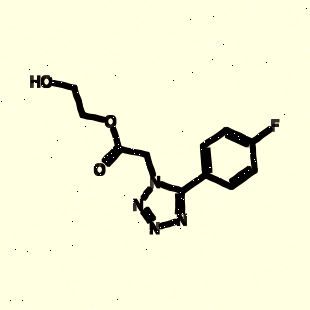 O=C(Cn1nnnc1-c1ccc(F)cc1)OCCO